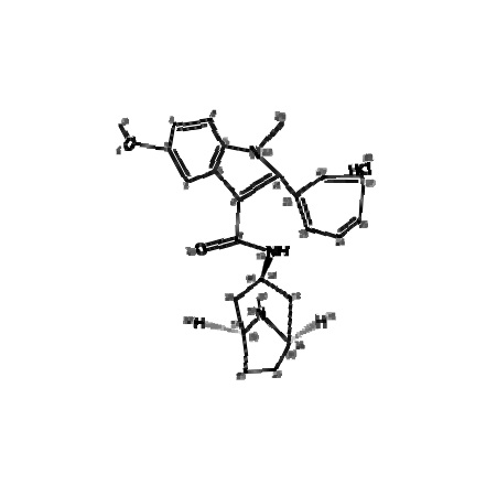 COc1ccc2c(c1)c(C(=O)N[C@H]1C[C@H]3CC[C@@H](C1)N3C)c(-c1ccccc1)n2C.Cl